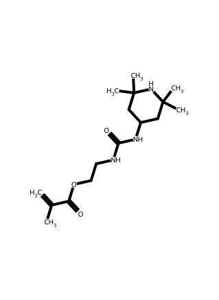 C=C(C)C(=O)OCCNC(=O)NC1CC(C)(C)NC(C)(C)C1